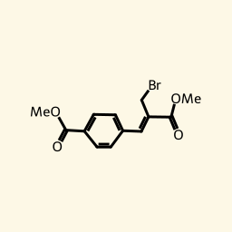 COC(=O)/C(=C/c1ccc(C(=O)OC)cc1)CBr